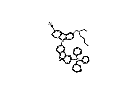 CCCCC(CC)Cc1ccc2c(c1)c1cc(C#N)ccc1n2-c1ccc2sc3ccc([Si](c4ccccc4)(c4ccccc4)c4ccccc4)cc3c2c1